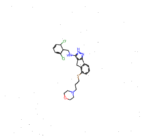 ClC1=CC=CC(Cl)C1CNc1[nH]nc2c1Cc1c(SCCCN3CCOCC3)cccc1-2